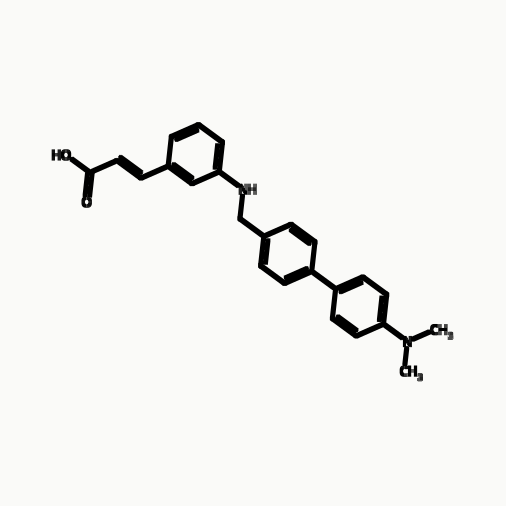 CN(C)c1ccc(-c2ccc(CNc3cccc(C=CC(=O)O)c3)cc2)cc1